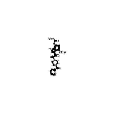 CNC(=O)Oc1ccc(OC)c2c(C(=O)C(=O)N3CCN(C(=O)c4ccccc4)CC3)c[nH]c12